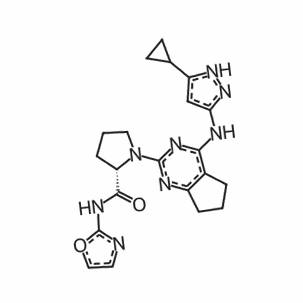 O=C(Nc1ncco1)[C@@H]1CCCN1c1nc2c(c(Nc3cc(C4CC4)[nH]n3)n1)CCC2